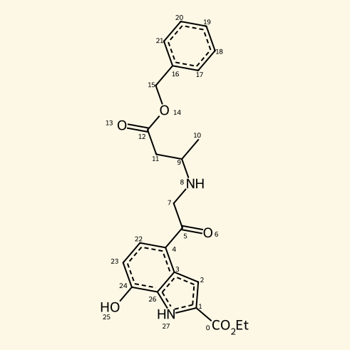 CCOC(=O)c1cc2c(C(=O)CNC(C)CC(=O)OCc3ccccc3)ccc(O)c2[nH]1